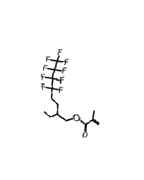 C=C(C)C(=O)OCC(CC)CCC(F)(F)C(F)(F)C(F)(F)C(F)(F)F